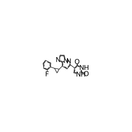 O=c1[nH]cc(-c2cc(C3CC3c3ccccc3F)c3nccn3n2)c(=O)[nH]1